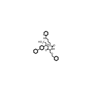 O=C(O)CC(NC(=O)C(COCc1ccccc1)NC(=O)OCCCNc1ccccn1)c1ccc(-c2ccccc2)cc1